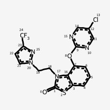 O=c1sc2cccc(Oc3ncc(Cl)cn3)c2n1CCn1ccc(C(F)(F)F)n1